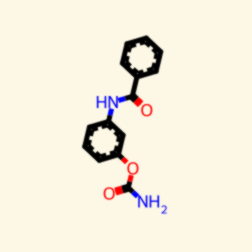 NC(=O)Oc1cccc(NC(=O)c2ccccc2)c1